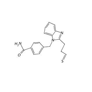 NC(=O)c1ccc(Cn2c(CCC=S)nc3ccccc32)cc1